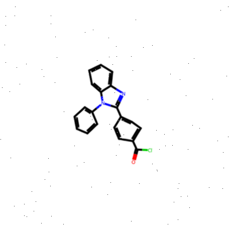 O=C(Cl)c1ccc(-c2nc3ccccc3n2-c2ccccc2)cc1